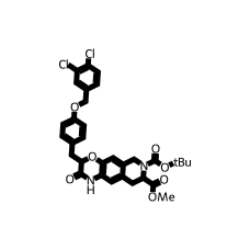 COC(=O)C1Cc2cc3c(cc2CN1C(=O)OC(C)(C)C)OC(Cc1ccc(OCc2ccc(Cl)c(Cl)c2)cc1)C(=O)N3